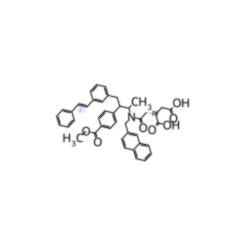 COC(=O)c1ccc(C(Cc2cccc(/C=C/c3ccccc3)c2)C(C)N(Cc2ccc3ccccc3c2)C(=O)C[C@H](CC(=O)O)C(=O)O)cc1